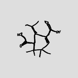 CC(C)=C1C(C(=O)O)=CC(C)(C)C(C)(C)C1C(=O)O